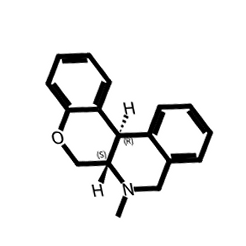 CN1Cc2ccccc2[C@@H]2c3ccccc3OC[C@H]21